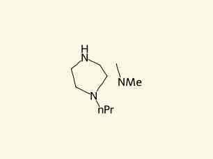 CCCN1CCNCC1.CNC